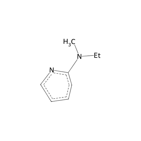 [CH2]CN(C)c1ccccn1